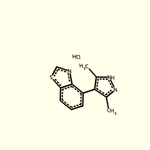 Cc1n[nH]c(C)c1-c1cccc2scnc12.Cl